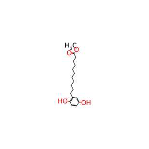 COC(=O)CCCCCCCCCCc1cc(O)ccc1O